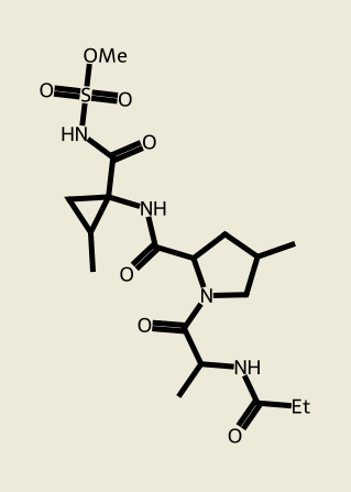 CCC(=O)NC(C)C(=O)N1CC(C)CC1C(=O)NC1(C(=O)NS(=O)(=O)OC)CC1C